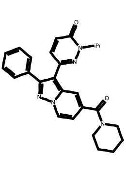 CC(C)n1nc(-c2c(-c3ccccc3)nn3ccc(C(=O)N4CCCCC4)cc23)ccc1=O